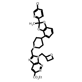 CCOC(=O)c1cc2nc(CN3CCC(c4cccc5c4OC(C)(c4ccc(Cl)cn4)O5)CC3)n(CC3CCO3)c2nn1